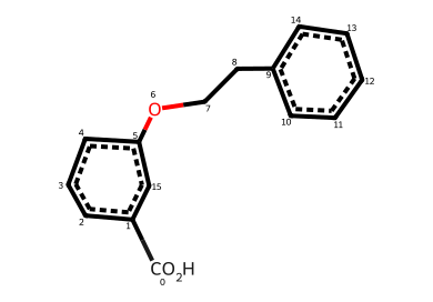 O=C(O)c1cccc(OCCc2ccccc2)c1